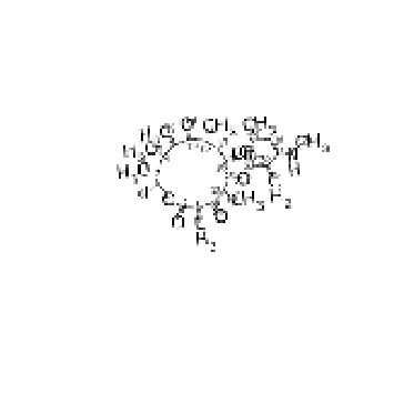 C=C1C(=O)O[C@H](I)[C@H](C)C(C)C(=C)C(=O)[C@H](C)C[C@H](C)[C@H](O[C@@H]2O[C@H](C)C[C@H](NC)C2=C)[C@@H](C)C1=O